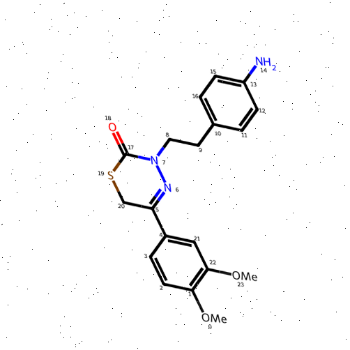 COc1ccc(C2=NN(CCc3ccc(N)cc3)C(=O)SC2)cc1OC